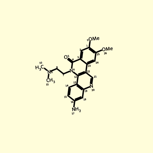 COc1cc2c(=O)n(CCN(C)C)c3c4ccc(N)cc4ncc3c2cc1OC